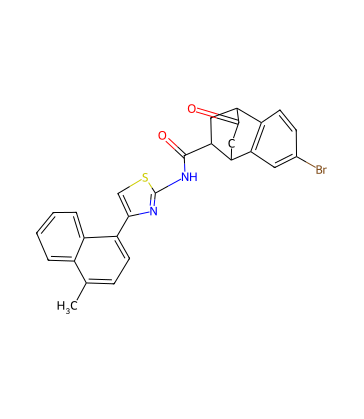 Cc1ccc(-c2csc(NC(=O)C3CC4C(=O)CC3c3cc(Br)ccc34)n2)c2ccccc12